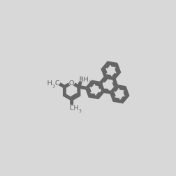 BC1(c2ccc3c4ccccc4c4ccccc4c3c2)C=C(C)CC(C)O1